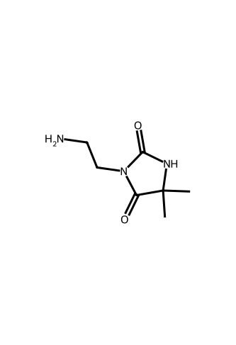 CC1(C)NC(=O)N(CCN)C1=O